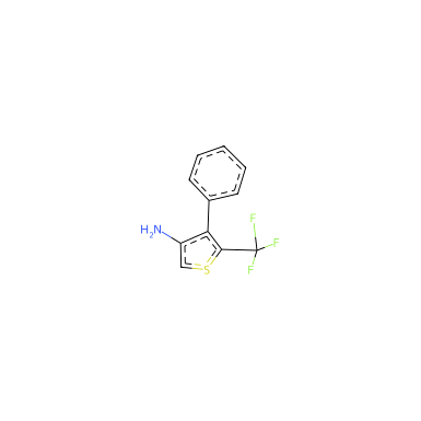 Nc1csc(C(F)(F)F)c1-c1ccccc1